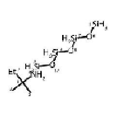 CCC(C)(C)N.[SiH3]O[SiH2]O[SiH2]O[SiH3]